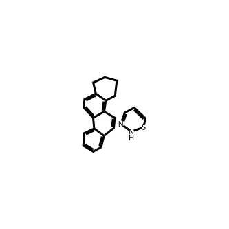 C1=CSNN=C1.c1ccc2c(c1)ccc1c3c(ccc12)CCCC3